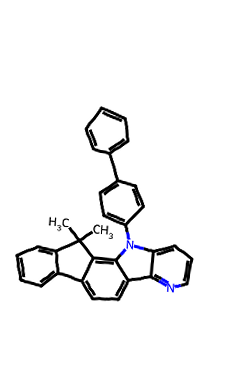 CC1(C)c2ccccc2-c2ccc3c4ncccc4n(-c4ccc(-c5ccccc5)cc4)c3c21